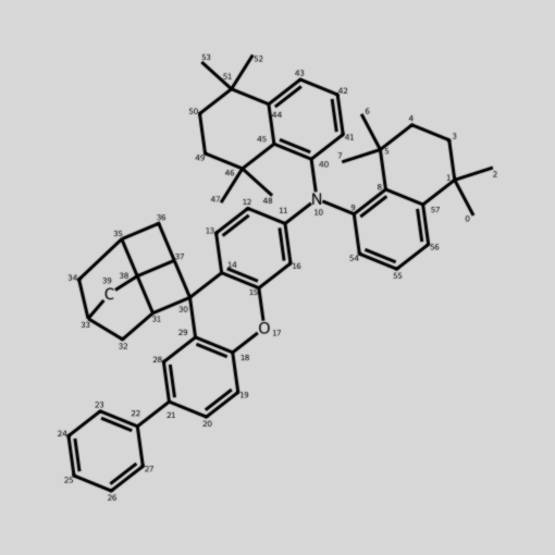 CC1(C)CCC(C)(C)c2c(N(c3ccc4c(c3)Oc3ccc(-c5ccccc5)cc3C43C4CC5CC6CC3C64C5)c3cccc4c3C(C)(C)CCC4(C)C)cccc21